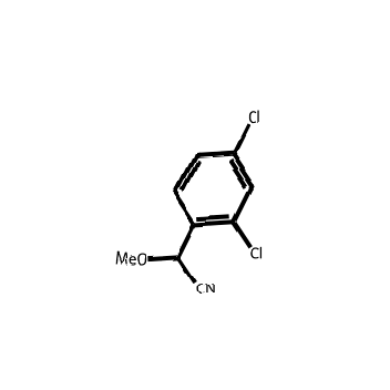 COC(C#N)c1ccc(Cl)cc1Cl